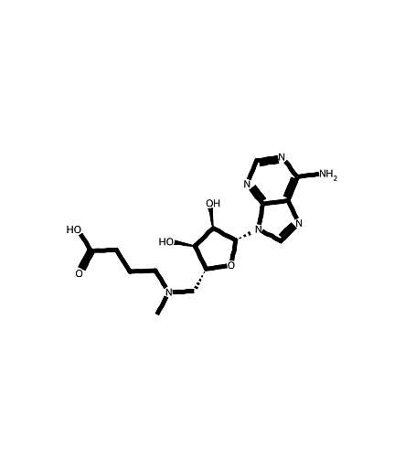 CN(CCCC(=O)O)C[C@H]1O[C@@H](n2cnc3c(N)ncnc32)[C@H](O)[C@@H]1O